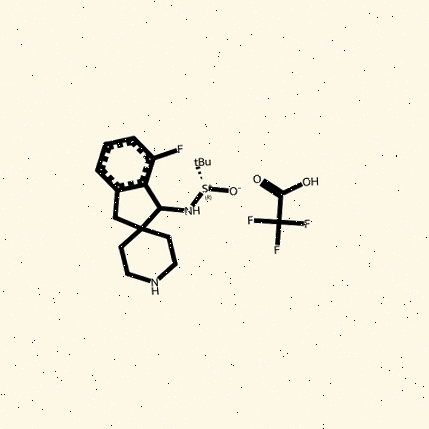 CC(C)(C)[S@+]([O-])NC1c2c(F)cccc2CC12CCNCC2.O=C(O)C(F)(F)F